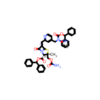 CC(=N)N(Cc1ccnc(/C=C2/C(=O)N3C2S[C@@](C)(COC(N)=O)[C@@H]3C(=O)OC(c2ccccc2)c2ccccc2)c1)C(=O)OC(c1ccccc1)c1ccccc1